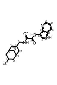 CCC1CC2C=C(CNC(=O)C(=O)Nc3c[nH]c4cccnc34)CC(C2)C1